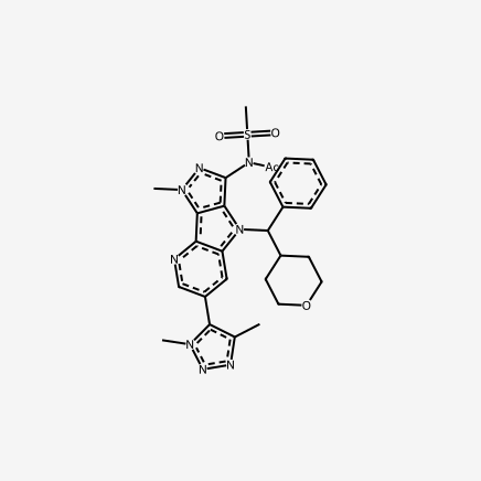 CC(=O)N(c1nn(C)c2c3ncc(-c4c(C)nnn4C)cc3n(C(c3ccccc3)C3CCOCC3)c12)S(C)(=O)=O